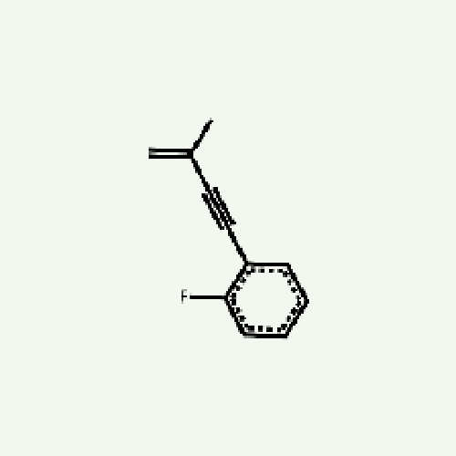 C=C(C)C#Cc1ccccc1F